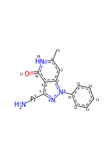 Cc1cc2c([c]([Pr][NH2])nn2-c2ccccc2)c(=O)[nH]1